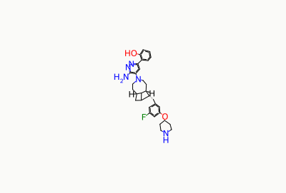 Nc1nnc(-c2ccccc2O)cc1N1CC[C@H]2CC3C2[C@H](CC1)[C@@H]3Cc1cc(F)cc(OC2CCNCC2)c1